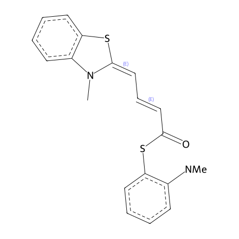 CNc1ccccc1SC(=O)/C=C/C=C1/Sc2ccccc2N1C